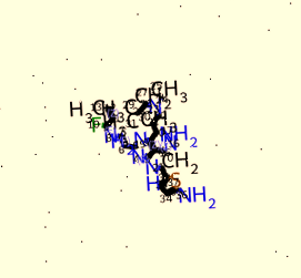 C=C(NC(=N/C/C=C/N=C(F)\C=C/C)/C(/C=N\N)=C(\N)CCCN(CC)C(=C)C(C)(C)C)c1ccc(N)s1